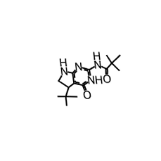 CC(C)(C)C(=O)Nc1nc2c(c(=O)[nH]1)C(C(C)(C)C)CN2